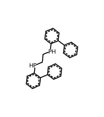 c1ccc(-c2ccccc2PCCPc2ccccc2-c2ccccc2)cc1